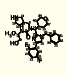 C[C@@H](CO)NC(=O)N(C[C@H]1CCNC1)C(c1nc(-c2cc(F)ccc2F)cn1Cc1ccccc1)C1CCOCC1